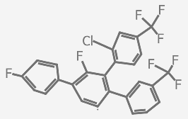 Fc1ccc(-c2c[c]c(-c3cccc(C(F)(F)F)c3)c(-c3ccc(C(F)(F)F)cc3Cl)c2F)cc1